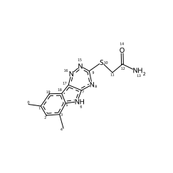 Cc1cc(C)c2[nH]c3nc(SCC(N)=O)nnc3c2c1